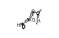 O=C(O)C(CC1CCN(C(=O)C=Cc2cc(F)cc(F)c2)CC1)N1CCC(c2c[nH]c3ccccc23)CC1